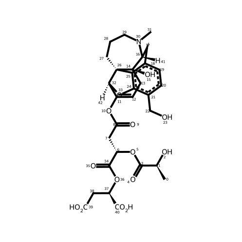 C[C@H](O)C(=O)O[C@@H](CC(=O)OC1=CC[C@@]2(O)[C@H]3Cc4ccc(CO)c5c4[C@@]2(CCCN3C)[C@H]1O5)C(=O)O[C@H](CC(=O)O)C(=O)O